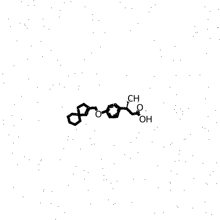 C#C[C@@H](CC(=O)O)c1ccc(OCC2=CC3(CCCCC3)CC2)cc1